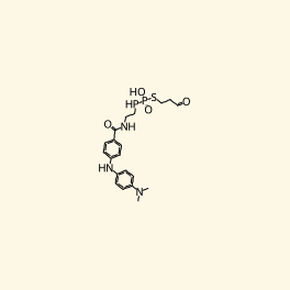 CN(C)c1ccc(Nc2ccc(C(=O)NCCPP(=O)(O)SCCC=O)cc2)cc1